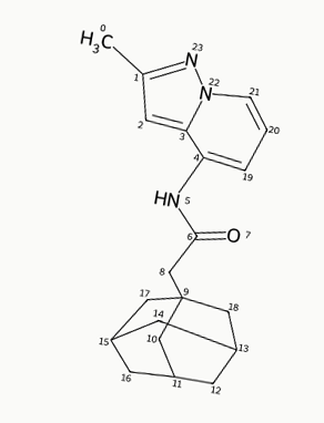 Cc1cc2c(NC(=O)CC34CC5CC(CC(C5)C3)C4)cccn2n1